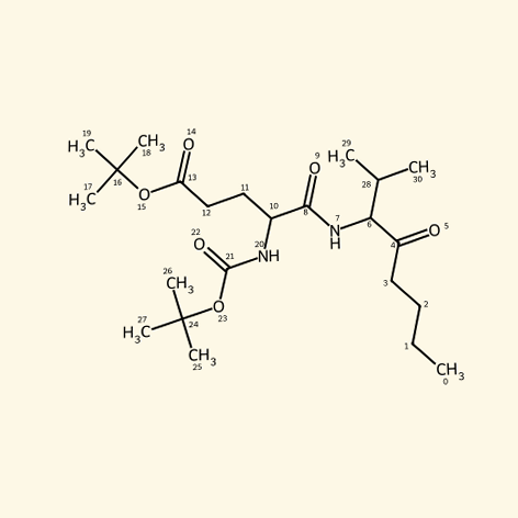 CCCCC(=O)C(NC(=O)C(CCC(=O)OC(C)(C)C)NC(=O)OC(C)(C)C)C(C)C